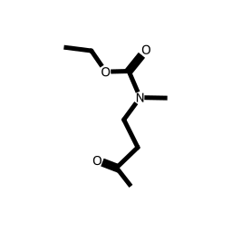 CCOC(=O)N(C)CCC(C)=O